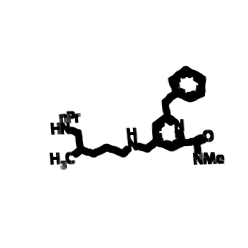 CCCNCC(C)CCCNCc1cc(Cc2ccccc2)nc(C(=O)NC)c1